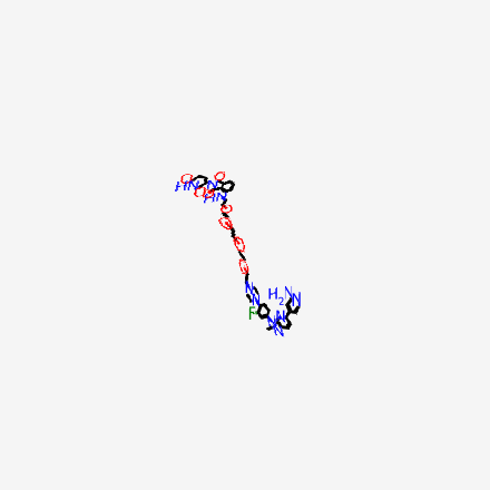 Cc1nc2ccc(-c3ccnc(N)c3)nc2n1-c1ccc(N2CCN(CCOCCOCCOCCOCCNc3cccc4c3C(=O)N(C3CCC(=O)NC3=O)C4=O)CC2)c(F)c1